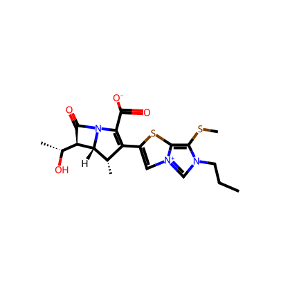 CCCn1c[n+]2cc(C3=C(C(=O)[O-])N4C(=O)[C@H]([C@@H](C)O)[C@H]4[C@H]3C)sc2c1SC